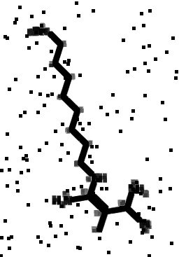 CCCCCCCCCCCCCCCCCCNC(N)=C(C)C(N)CC